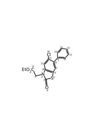 CCOC(=O)Cn1c(=O)sc2cc(-c3ccccc3)c(Cl)cc21